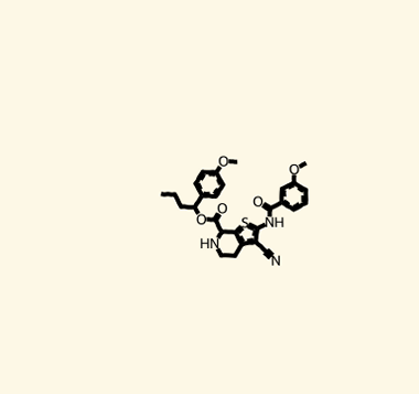 CCCC(OC(=O)C1NCCc2c1sc(NC(=O)c1cccc(OC)c1)c2C#N)c1ccc(OC)cc1